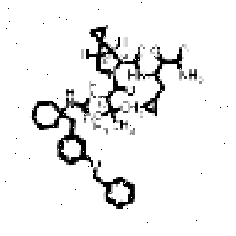 CC(C)(C)[C@H](NC(=O)NC1(Cc2cccc(OCc3ccccc3)c2)CCCCC1)C(=O)N1C[C@H]2[C@@H]([C@H]1C(=O)NC(CC1CC1)C(=O)C(N)=O)C21CC1